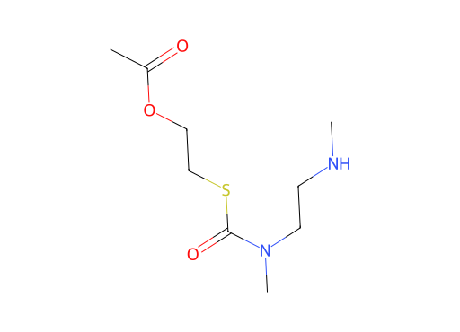 CNCCN(C)C(=O)SCCOC(C)=O